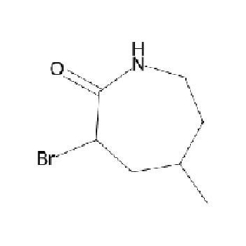 CC1CCNC(=O)C(Br)C1